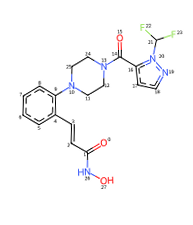 O=C(/C=C/c1ccccc1N1CCN(C(=O)c2ccnn2C(F)F)CC1)NO